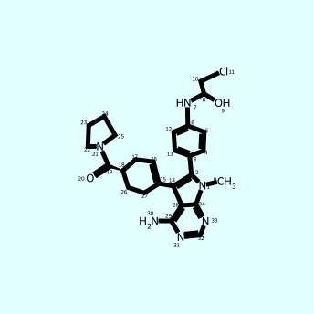 Cn1c(-c2ccc(NC(O)CCl)cc2)c(C2=CC[C@H](C(=O)N3CCCC3)CC2)c2c(N)ncnc21